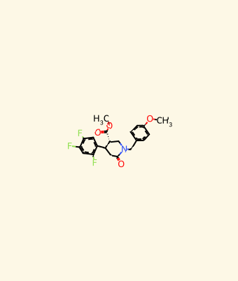 COC(=O)[C@@H]1CN(Cc2ccc(OC)cc2)C(=O)CC1c1cc(F)c(F)cc1F